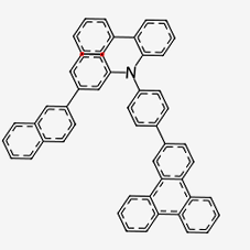 c1ccc(-c2ccccc2N(c2ccc(-c3ccc4c5ccccc5c5ccccc5c4c3)cc2)c2cccc(-c3ccc4ccccc4c3)c2)cc1